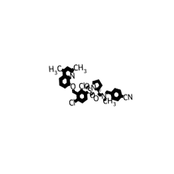 Cc1cc(C)c2cccc(OCc3c(Cl)ccc(S(=O)(=O)N4CCC[C@H]4C(=O)N(C)Cc4ccc(C#N)cc4)c3Cl)c2n1